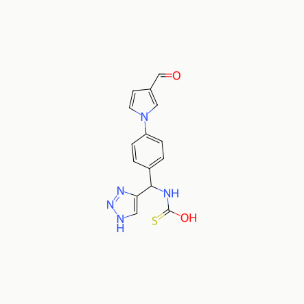 O=Cc1ccn(-c2ccc(C(NC(O)=S)c3c[nH]nn3)cc2)c1